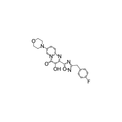 O=c1c(O)c(-c2nc(Cc3ccc(F)cc3)no2)nc2ccc(N3CCOCC3)cn12